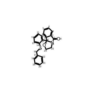 O=C1c2ccccc2C2(c3ccccc3SCc3ccccc3)OCCN12